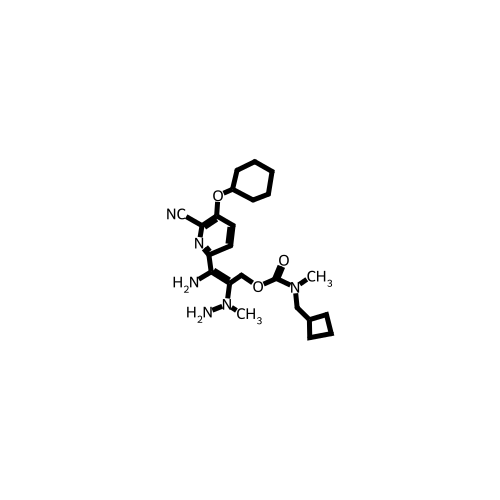 CN(CC1CCC1)C(=O)OC/C(=C(/N)c1ccc(OC2CCCCC2)c(C#N)n1)N(C)N